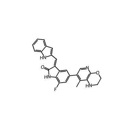 Cc1c(-c2cc(F)c3c(c2)C(=Cc2cc4ccccc4[nH]2)C(=O)N3)cnc2c1NCCO2